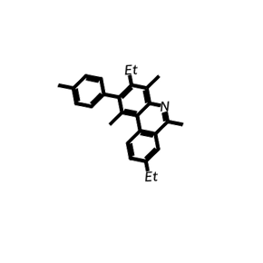 CCc1ccc2c(c1)c(C)nc1c(C)c(CC)c(-c3ccc(C)cc3)c(C)c12